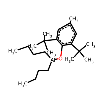 CCC[CH2][Al]([CH2]CCC)[O]c1c(C(C)(C)C)cc(C)cc1C(C)(C)C